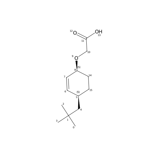 CC(C)(C)C[C@H]1C=C[C@@H](OCC(=O)O)CC1